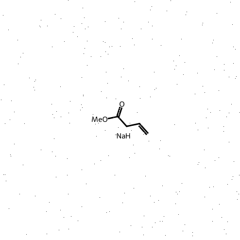 C=CCC(=O)OC.[NaH]